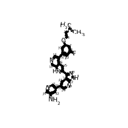 CN(C)CCOc1cc(F)cc(-c2cncc3[nH]c(-c4n[nH]c5ncc(-c6cncc(N)c6)cc45)cc23)c1